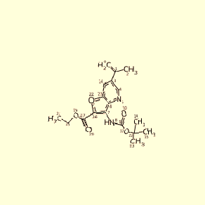 C=C(C)c1cnc2c(NC(=O)OC(C)(C)C)c(C(=O)OCC)oc2c1